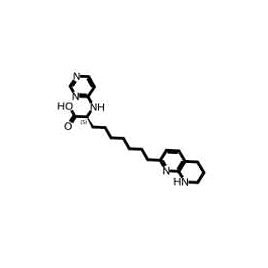 O=C(O)[C@H](CCCCCCCc1ccc2c(n1)NCCC2)Nc1ccncn1